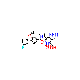 CCOc1cc(C(=O)N(C)C(C)c2c[n+](O)c(CO)c3c[nH]nc23)ccc1-c1cccc(F)c1